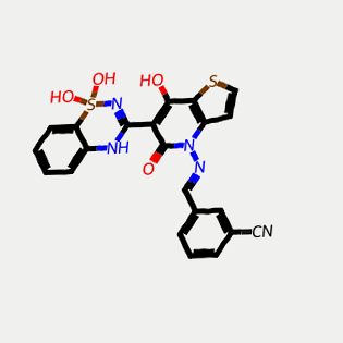 N#Cc1cccc(C=Nn2c(=O)c(C3=NS(O)(O)c4ccccc4N3)c(O)c3sccc32)c1